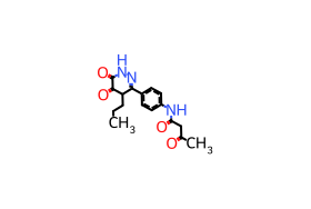 CCCC1C(=O)C(=O)NN=C1c1ccc(NC(=O)CC(C)=O)cc1